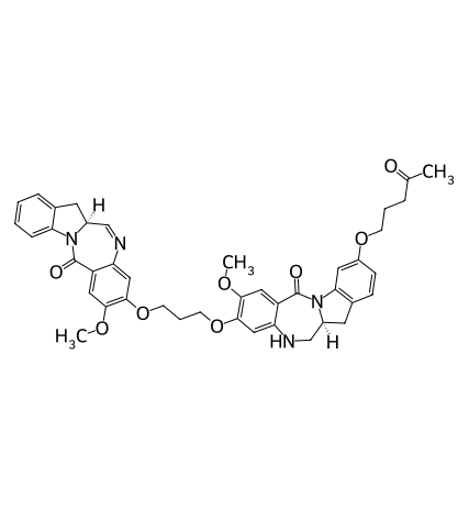 COc1cc2c(cc1OCCCOc1cc3c(cc1OC)C(=O)N1c4cc(OCCCC(C)=O)ccc4C[C@H]1CN3)N=C[C@@H]1Cc3ccccc3N1C2=O